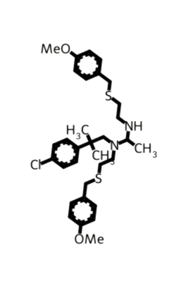 COc1ccc(CSCCNC(C)N(CCSCc2ccc(OC)cc2)CC(C)(C)c2ccc(Cl)cc2)cc1